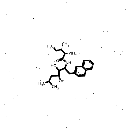 CC[C@H](C)[C@H](N)C(=O)NC(Cc1ccc2ccccc2c1)C(O)C(O)CC(C)C